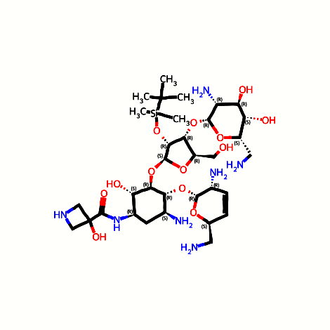 CC(C)(C)[Si](C)(C)O[C@H]1[C@H](O[C@@H]2[C@@H](O)[C@H](NC(=O)C3(O)CNC3)C[C@H](N)[C@H]2O[C@H]2O[C@H](CN)C=C[C@H]2N)O[C@H](CO)[C@H]1O[C@H]1O[C@@H](CN)[C@@H](O)[C@H](O)[C@H]1N